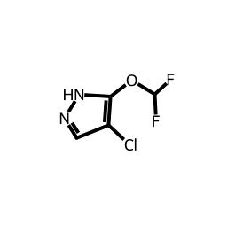 FC(F)Oc1[nH]ncc1Cl